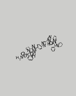 C[C@](OC(N)=O)(C(=O)N1CCC[C@H]1c1nc(-c2ccc(-c3ncc(-c4cnc([C@@H]5CCCN5C(=O)[C@@H](c5ccccc5)N5CCCCC5)[nH]4)cn3)cc2)c[nH]1)c1ccccc1